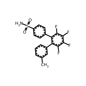 Cc1cccc(-c2c(F)c(F)c(F)c(F)c2-c2ccc(S(N)(=O)=O)cc2)c1